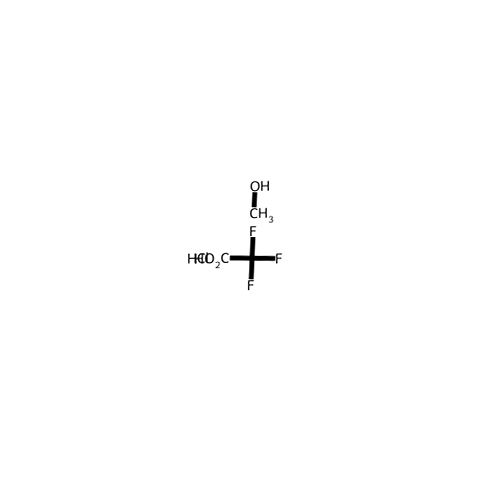 CO.Cl.O=C(O)C(F)(F)F